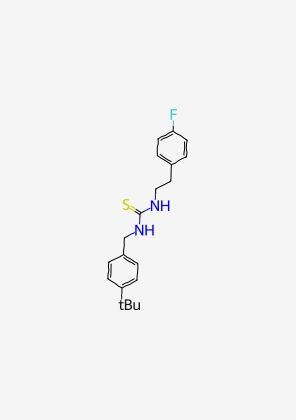 CC(C)(C)c1ccc(CNC(=S)NCCc2ccc(F)cc2)cc1